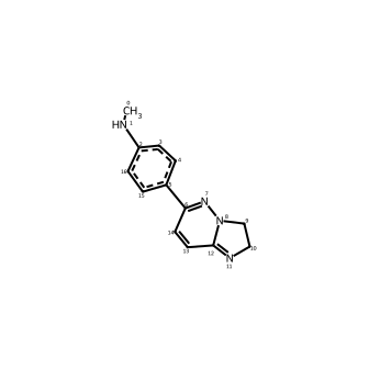 CNc1ccc(C2=NN3CCN=C3C=C2)cc1